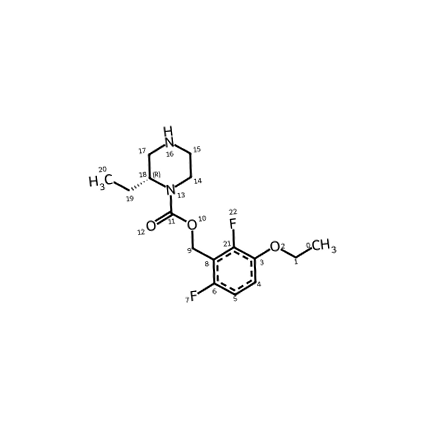 CCOc1ccc(F)c(COC(=O)N2CCNC[C@H]2CC)c1F